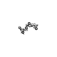 Cc1cnc(N2CC3(CCOCC3)C2)c(C(=O)Nc2ccc(C(=O)N3CCc4cc(C(=O)c5nc6ccccc6n5SF)oc4-c4ccccc43)cc2)c1